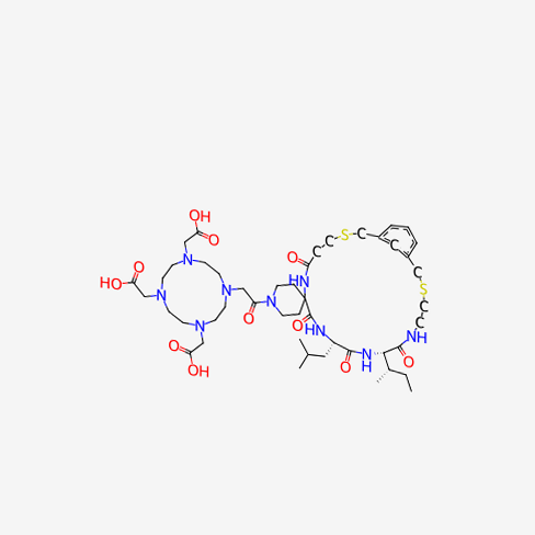 CC[C@H](C)[C@@H]1NC(=O)[C@H](CC(C)C)NC(=O)C2(CCN(C(=O)CN3CCN(CC(=O)O)CCN(CC(=O)O)CCN(CC(=O)O)CC3)CC2)NC(=O)CCSCc2cccc(c2)CSCCNC1=O